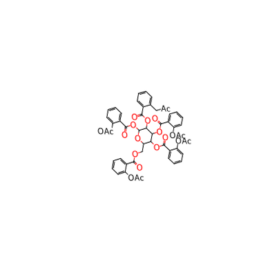 CC(=O)Cc1ccccc1C(=O)OC1C(OC(=O)c2ccccc2OC(C)=O)OC(COC(=O)c2ccccc2OC(C)=O)C(OC(=O)c2ccccc2OC(C)=O)C1OC(=O)c1ccccc1OC(C)=O